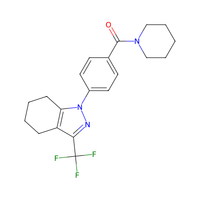 O=C(c1ccc(-n2nc(C(F)(F)F)c3c2CCCC3)cc1)N1CCCCC1